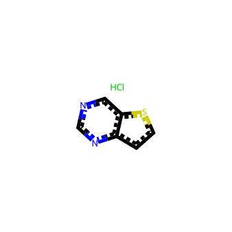 Cl.c1ncc2sccc2n1